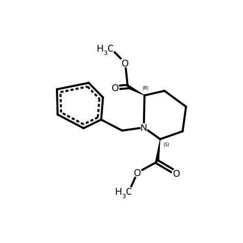 COC(=O)[C@H]1CCC[C@@H](C(=O)OC)N1Cc1ccccc1